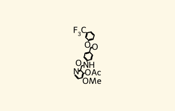 COc1ccnc(C(=O)Nc2ccc(C(=O)Oc3cccc(C(F)(F)F)c3)cc2)c1OC(C)=O